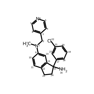 CN(Cc1ccncc1)c1ccc2c(c1)C(N)(c1cccc(Cl)c1)CC2